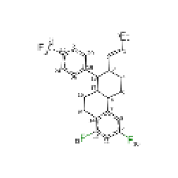 CCC=CC1CCC2c3cc(F)cc(F)c3CCC2C1c1ccc(C(F)(F)F)cc1